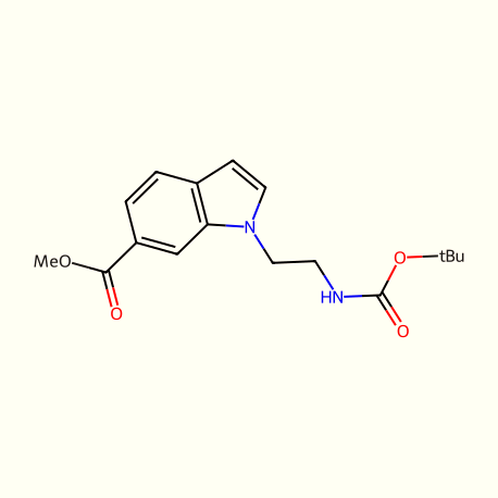 COC(=O)c1ccc2ccn(CCNC(=O)OC(C)(C)C)c2c1